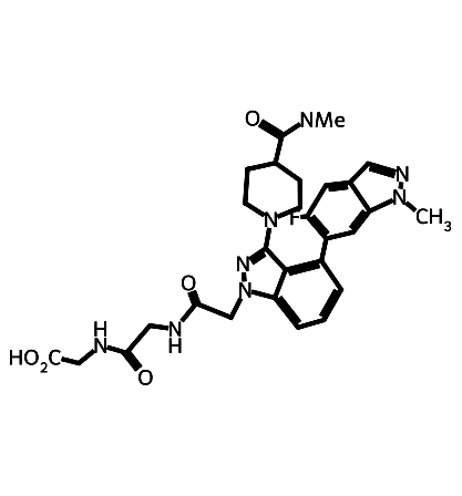 CNC(=O)C1CCN(c2nn(CC(=O)NCC(=O)NCC(=O)O)c3cccc(-c4cc5c(cnn5C)cc4F)c23)CC1